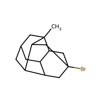 CC12CC3CC4C5CC(Br)(CC41)CC2C5C3